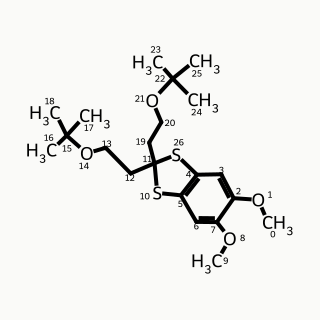 COc1cc2c(cc1OC)SC(CCOC(C)(C)C)(CCOC(C)(C)C)S2